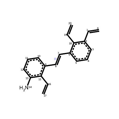 C=Cc1cccc(/C=C/c2cccc(N)c2C=C)c1C=C